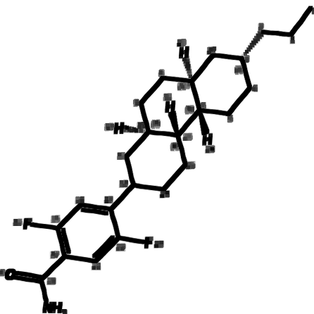 CCC[C@@H]1CC[C@H]2[C@@H](CC[C@@H]3CC(c4cc(F)c(C(N)=O)cc4F)CC[C@H]32)C1